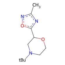 Cc1noc(C2CN(C(C)(C)C)CCO2)n1